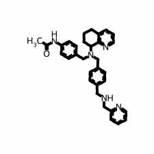 CC(=O)Nc1ccc(CN(Cc2ccc(CNCc3ccccn3)cc2)C2CCCc3cccnc32)cc1